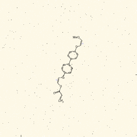 C=CC(=O)O/C=C\Oc1ccc(-c2ccc(O/C=C\OC)cc2)cc1